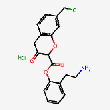 Cl.NCCc1ccccc1OC(=O)C1Oc2cc(CCl)ccc2CC1=O